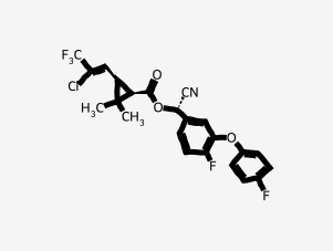 CC1(C)[C@H](C(=O)O[C@H](C#N)c2ccc(F)c(Oc3ccc(F)cc3)c2)[C@@H]1/C=C(\Cl)C(F)(F)F